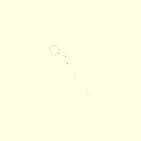 COCCCCCCC=NNc1ccccc1